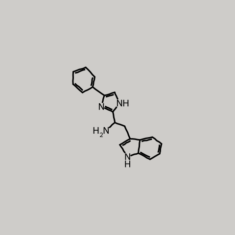 NC(Cc1c[nH]c2ccccc12)c1nc(-c2ccccc2)c[nH]1